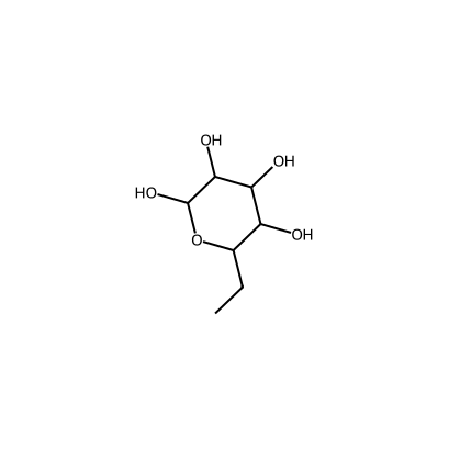 CCC1OC(O)C(O)C(O)C1O